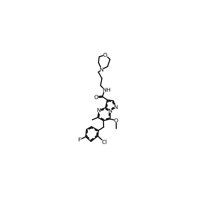 COc1c(Cc2ccc(F)cc2Cl)c(C)nc2c(C(=O)NCCCN3CCOCC3)cnn12